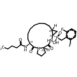 O=C(CCCC(F)(F)F)N[C@H]1CCCCCCC[C@@H]2C[C@@]2(P(=O)(O)Cc2c(F)cccc2F)NC(=O)[C@@H]2CCCN2C1=O